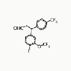 O=CCC(c1ccc(C(F)(F)F)cc1)c1ccc(F)c(OC(F)(F)F)c1